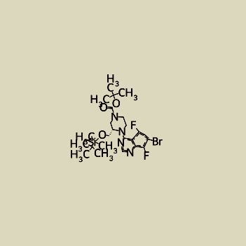 CC(C)(C)OC(=O)N1CCN(c2ncnc3c(F)c(Br)cc(F)c23)[C@H](CO[Si](C)(C)C(C)(C)C)C1